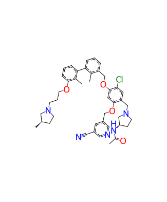 CC(=O)N[C@@H]1CCN(Cc2cc(Cl)c(OCc3cccc(-c4cccc(OCCCN5CC[C@@H](C)C5)c4C)c3C)cc2OCc2cncc(C#N)c2)C1